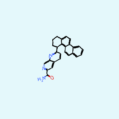 NC(=O)c1cc2ccc(C3CCCc4ccc5c(ccc6ccccc65)c43)nc2cn1